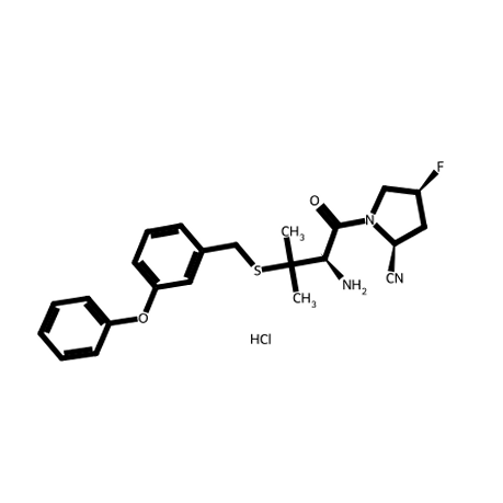 CC(C)(SCc1cccc(Oc2ccccc2)c1)[C@H](N)C(=O)N1C[C@@H](F)C[C@H]1C#N.Cl